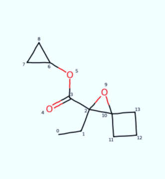 CCC1(C(=O)OC2CC2)OC12CCC2